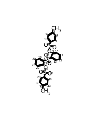 Cc1ccc(S(=O)(=O)Oc2ccccc2S(=O)(=O)c2ccccc2OS(=O)(=O)c2ccc(C)cc2)cc1